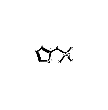 [CH3][Sn]([CH3])([CH3])[CH2]c1cccs1